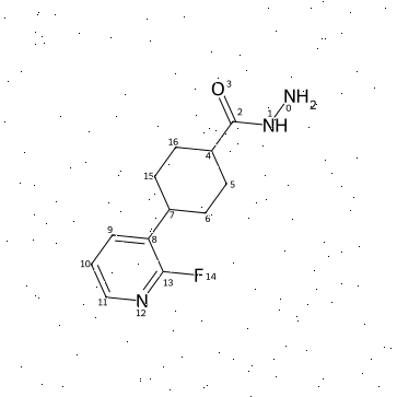 NNC(=O)C1CCC(c2cccnc2F)CC1